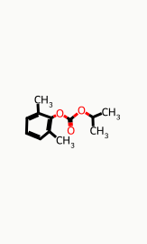 Cc1cccc(C)c1OC(=O)OC(C)C